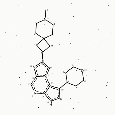 CN1CCC2(CC1)CC(c1cn3c(cnc4[nH]cc(C5CCOCC5)c43)n1)C2